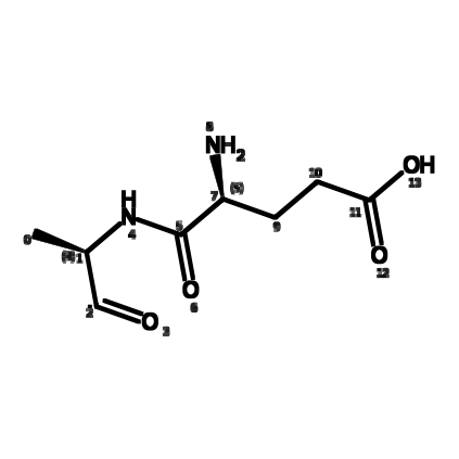 C[C@H]([C]=O)NC(=O)[C@@H](N)CCC(=O)O